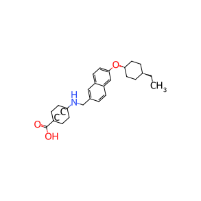 CC[C@H]1CC[C@@H](Oc2ccc3cc(CNC45CCC(C(=O)O)(CC4)CC5)ccc3c2)CC1